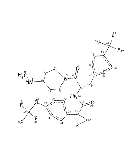 CNC1CCN(C(=O)[C@H](Cc2ccc(C(F)(F)F)cc2)NC(=O)C2(c3ccc(OC(F)(F)F)cc3)CC2)CC1